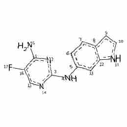 Nc1nc(Nc2ccc3cc[nH]c3c2)ncc1F